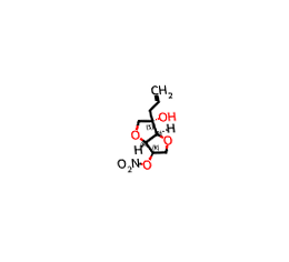 C=CC[C@]1(O)CO[C@@H]2[C@H](O[N+](=O)[O-])CO[C@@H]21